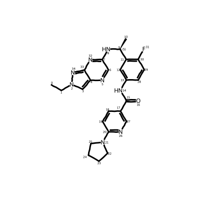 CCn1cc2ncc(N[C@@H](C)c3cc(NC(=O)c4ccc(N5CCCC5)nc4)ccc3F)nc2n1